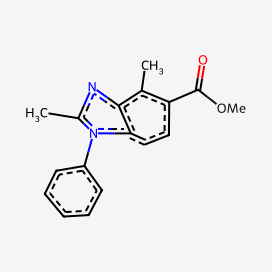 COC(=O)c1ccc2c(nc(C)n2-c2ccccc2)c1C